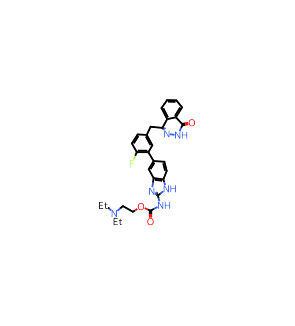 CCN(CC)CCOC(=O)Nc1nc2cc(-c3cc(Cc4n[nH]c(=O)c5ccccc45)ccc3F)ccc2[nH]1